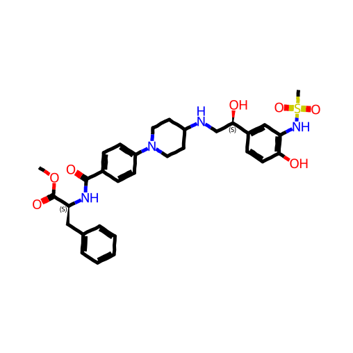 COC(=O)[C@H](Cc1ccccc1)NC(=O)c1ccc(N2CCC(NC[C@@H](O)c3ccc(O)c(NS(C)(=O)=O)c3)CC2)cc1